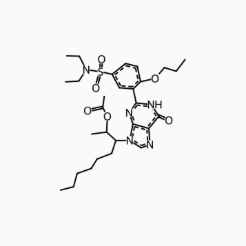 CCCCCCC(C(C)OC(C)=O)n1cnc2c(=O)[nH]c(-c3cc(S(=O)(=O)N(CC)CC)ccc3OCCC)nc21